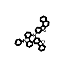 c1ccc(-n2c3ccccc3c3c(N(c4ccc5c(c4)oc4ccccc45)c4ccc5c(c4)sc4ccc6ccccc6c45)cccc32)cc1